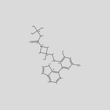 Cc1cc(Cl)cc(-c2ncnc3ccsc23)c1OCC1(C)CN(C(=O)OC(C)(C)C)C1